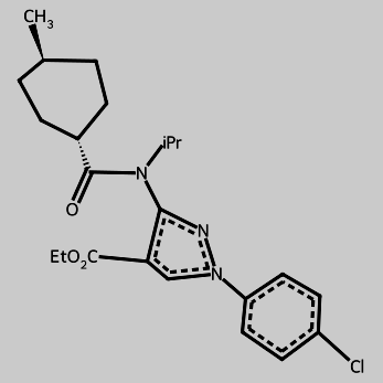 CCOC(=O)c1cn(-c2ccc(Cl)cc2)nc1N(C(=O)[C@H]1CC[C@H](C)CC1)C(C)C